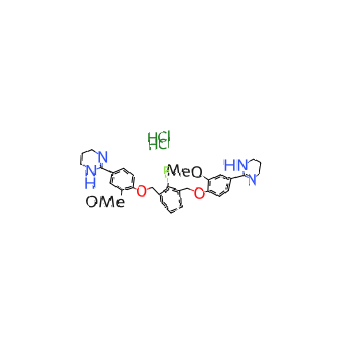 COc1cc(C2=NCCCN2)ccc1OCc1cccc(COc2ccc(C3=NCCCN3)cc2OC)c1F.Cl.Cl